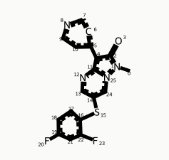 Cn1c(=O)c(-c2ccncc2)c2ncc(Sc3ccc(F)cc3F)cn21